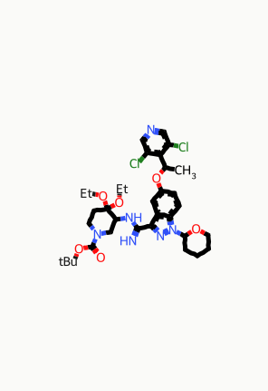 CCOC1(OCC)CCN(C(=O)OC(C)(C)C)CC1NC(=N)c1nn(C2CCCCO2)c2ccc(OC(C)c3c(Cl)cncc3Cl)cc12